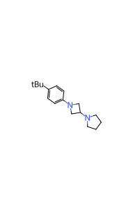 CC(C)(C)c1ccc(N2CC(N3CCCC3)C2)cc1